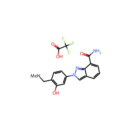 CNCc1ccc(-n2cc3cccc(C(N)=O)c3n2)cc1O.O=C(O)C(F)(F)F